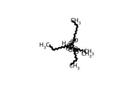 CCCC/C=C\CCCCCCCC(=O)OCC(C)(COC(=O)CCCCCCC/C=C\CCCC)CC(C(=O)O)C(CCCCC/C=C\CCCC)OC(=O)CCCN(C)C